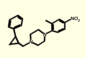 Cc1cc([N+](=O)[O-])ccc1N1CCN(CC2CC2c2ccccc2)CC1